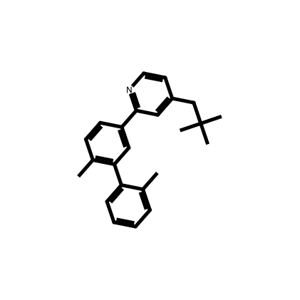 Cc1ccccc1-c1cc(-c2cc(CC(C)(C)C)ccn2)ccc1C